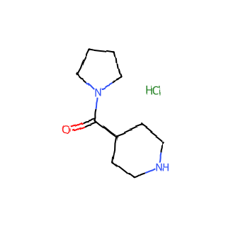 Cl.O=C(C1CCNCC1)N1CCCC1